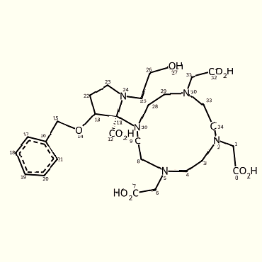 O=C(O)CN1CCN(CC(=O)O)CCN([C@@]2(C(=O)O)C(OCc3ccccc3)CCN2CCO)CCN(CC(=O)O)CC1